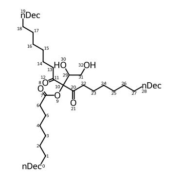 CCCCCCCCCCCCCCCCC(=O)OC(C(=O)CCCCCCCCCCCCCCCC)(C(=O)CCCCCCCCCCCCCCCC)C(O)CO